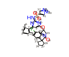 Cc1cccc(C)c1-c1cc(OC2CN(C(=O)C3(c4ccc(F)cc4)CCCC3)C2)nc(NS(=O)(=O)c2cnn(C)c2)n1